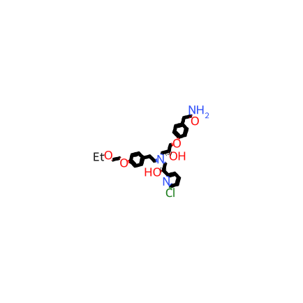 CCOCCOc1ccc(CCN(C[C@H](O)COc2ccc(CC(N)=O)cc2)C[C@H](O)c2cccc(Cl)n2)cc1